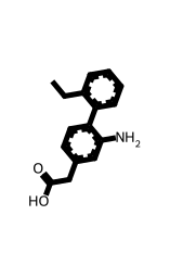 CCc1ccccc1-c1ccc(CC(=O)O)cc1N